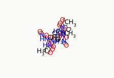 COc1ccc(CC(NC(=O)C(C)NC(=O)CN2CCOCC2)C(=O)NC(CC2CCCCC2)C(=O)C2(C)CO2)cc1-c1cc(CC(NC(=O)C(C)NC(=O)CN2CCOCC2)C(=O)NC(CC2CCC2)C(=O)C2(C)CO2)ccc1OC